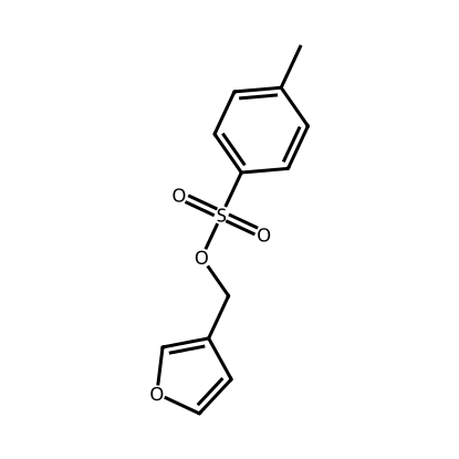 Cc1ccc(S(=O)(=O)OCc2ccoc2)cc1